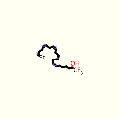 CC/C=C\C/C=C\C/C=C\C/C=C\C/C=C\CCCCC(O)C(F)(F)F